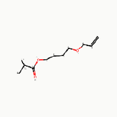 C=CCOCCCCOC(=O)C(C)C